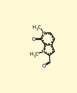 Cn1ccc2cc(C=O)n(C)c2c1=O